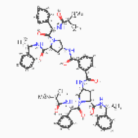 CN[C@@H](C)C(=O)N[C@H](C(=O)N1C[C@@H](NC(=O)c2cccc(C(=O)N[C@H]3C[C@@H](C(=O)N[C@H](C)c4ccccc4)N(C(=O)[C@@H](NC(=O)[C@H](C)NC)c4ccccc4)C3)c2)C[C@H]1C(=O)N[C@H](C)c1ccccc1)c1ccccc1